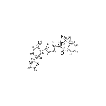 C=C(/C=C\C(=C/C)NC(=O)c1ccccc1C(F)(F)F)c1cc(-c2nccs2)ccc1Cl